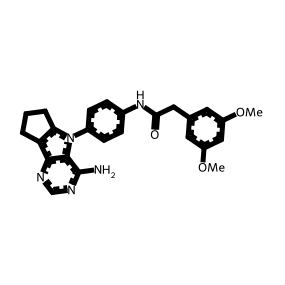 COc1cc(CC(=O)Nc2ccc(-n3c4c(c5ncnc(N)c53)CCC4)cc2)cc(OC)c1